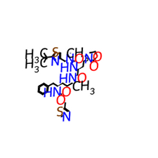 CC(C)c1nc(CN(C)C(=O)N[C@@H](CCN2CCOC2=O)C(=O)N[C@@H](C)CC[C@H](Cc2ccccc2)NC(=O)OCc2cncs2)cs1